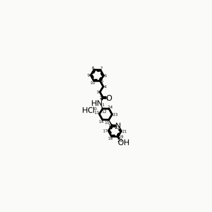 Cl.O=C(CCc1ccccc1)N[C@H]1CC[C@H](c2ccc(O)cn2)CC1